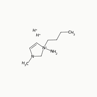 CCCC[N+]1(N)C=CN(C)C1.[H+].[H+]